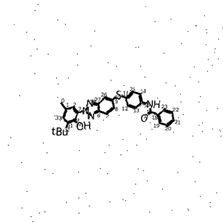 Cc1cc(-n2nc3ccc(Sc4ccc(NC(=O)c5ccccc5)cc4)cc3n2)c(O)c(C(C)(C)C)c1